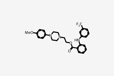 COc1ccc(N2CCN(CCOC(=O)c3ccccc3Nc3cccc(C(F)(F)F)c3)CC2)cc1